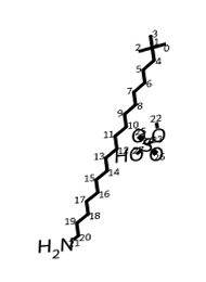 CC(C)(C)CCCCCCCCCCCCCCCCCN.COS(=O)(=O)O